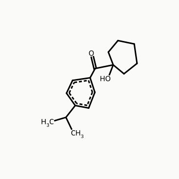 CC(C)c1ccc(C(=O)C2(O)CCCCC2)cc1